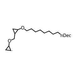 [CH2]CCCCCCCCCCCCCCCCCOC1CC1COC1[CH]C1